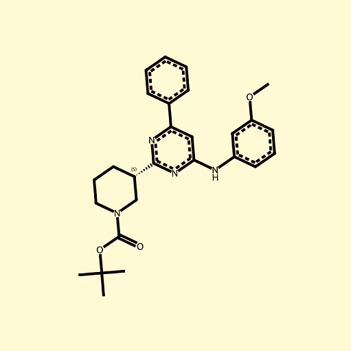 COc1cccc(Nc2cc(-c3ccccc3)nc([C@H]3CCCN(C(=O)OC(C)(C)C)C3)n2)c1